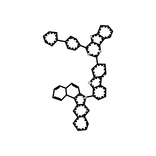 C1=CC2C=Cc3c(c4cc5ccccc5cc4n3-c3cccc4c3oc3cc(-c5nc(-c6ccc(-c7ccccc7)cc6)c6sc7ccccc7c6n5)ccc34)C2C=C1